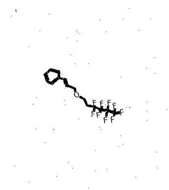 FC(F)(F)C(F)(F)C(F)(F)C(F)(F)CCOCC=Cc1ccccc1